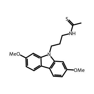 COc1ccc2c3ccc(OC)cc3n(CCCNC(C)=S)c2c1